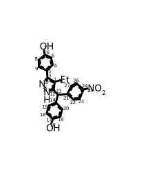 CCc1c(-c2ccc(O)cc2)n[nH]c1C(c1ccc(O)cc1)c1ccc([N+](=O)[O-])cc1